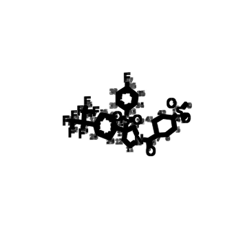 CS(=O)(=O)C1CCC(C(=O)N2CCC(c3ccc(C(F)(C(F)(F)F)C(F)(F)F)cc3)(S(=O)(=O)c3ccc(F)cc3)C2)CC1